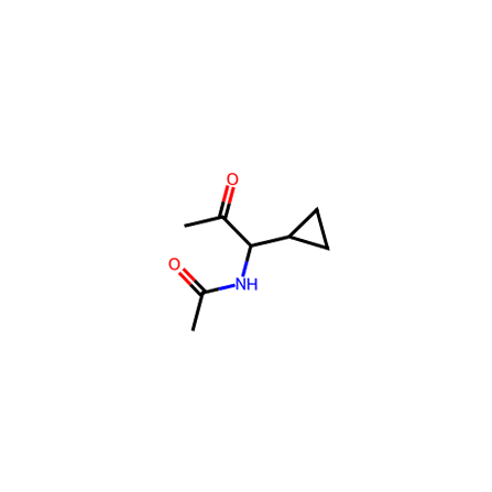 CC(=O)NC(C(C)=O)C1CC1